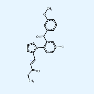 COC(=O)/C=C/c1cccn1-c1ccc(Cl)cc1C(=O)c1cccc(OC)c1